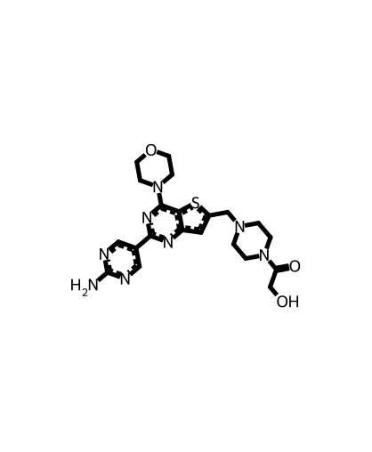 Nc1ncc(-c2nc(N3CCOCC3)c3sc(CN4CCN(C(=O)CO)CC4)cc3n2)cn1